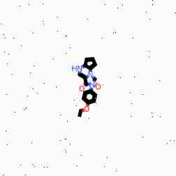 CCOc1ccc([N+]2([O-])CN3C(=CNC4C=CC=C43)C2=O)cc1